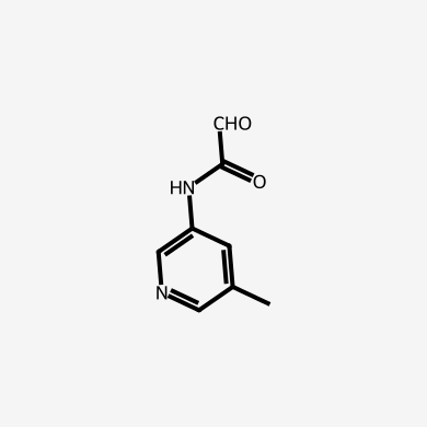 Cc1cncc(NC(=O)C=O)c1